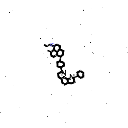 C=C/C=c1/ccc2ccc(-c3ccc(-c4ccc5ccc6ccc(-c7ccccc7)nc6c5n4)cc3)c3ccc(C)c1c23